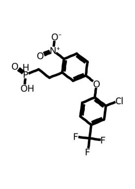 O=[N+]([O-])c1ccc(Oc2ccc(C(F)(F)F)cc2Cl)cc1CC[PH](=O)O